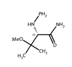 COC(C)(C)[C@H](NP)C(N)=O